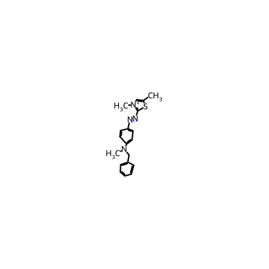 Cc1c[n+](C)c(/N=N/c2ccc(N(C)Cc3ccccc3)cc2)s1